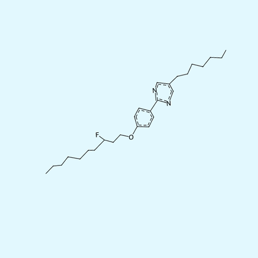 CCCCCCCc1cnc(-c2ccc(OCCC(F)CCCCCCC)cc2)nc1